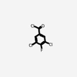 O=C(Cl)c1cc(Cl)c(F)c(Cl)c1